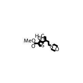 C/C=C(/CCN1CCOCC1)c1scc(C(=O)OC)c1C